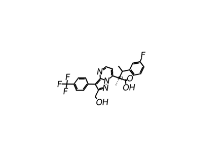 CC(c1cccc(F)c1)[C@@](C)(C(=O)O)c1ccnc2c(-c3ccc(C(F)(F)F)cc3)c(CO)nn12